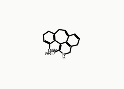 COC1=CCCC2=C1C1=C(OC)NCC3=C1C(=CC2)C=CC3